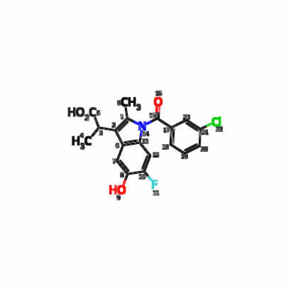 Cc1c(C(C)C(=O)O)c2cc(O)c(F)cc2n1C(=O)c1cccc(Cl)c1